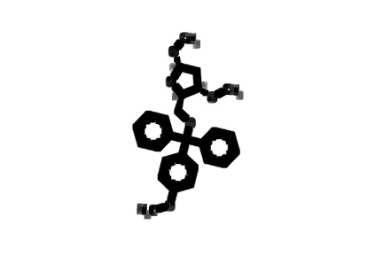 COc1ccc(C(OC[C@H]2O[C@H](OC)C[C@@H]2OC)(c2ccccc2)c2ccccc2)cc1